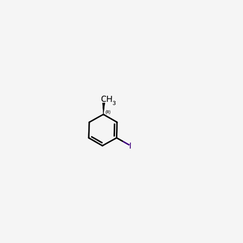 C[C@H]1C=C(I)C=CC1